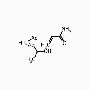 C=CC(N)=O.CC(=O)C(C)O.CC(C)=O